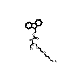 COCCOCCOC[C@@H](CO)NC(=O)OCC1c2ccccc2-c2ccccc21